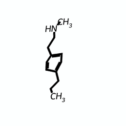 CCCc1ccc(CCNC)cc1